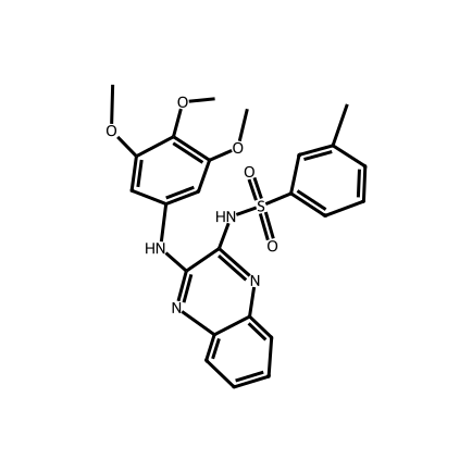 COc1cc(Nc2nc3ccccc3nc2NS(=O)(=O)c2cccc(C)c2)cc(OC)c1OC